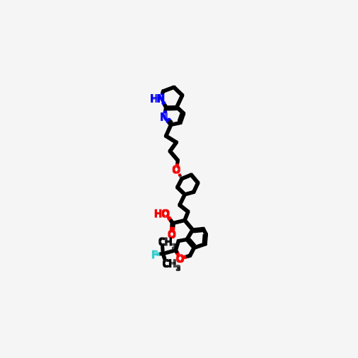 CC(C)(F)C1Cc2c(cccc2C(CCC2CCC[C@@H](OCCCCc3ccc4c(n3)NCCC4)C2)C(=O)O)CO1